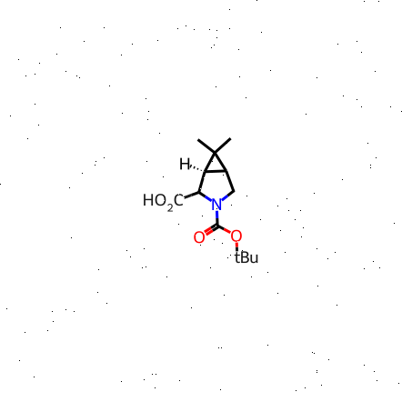 CC(C)(C)OC(=O)N1CC2[C@@H](C1C(=O)O)C2(C)C